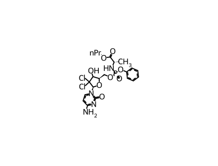 CCCOC(=O)[C@H](C)NP(=O)(OC[C@H]1O[C@@H](n2ccc(N)nc2=O)C(Cl)(Cl)C1O)Oc1ccccc1